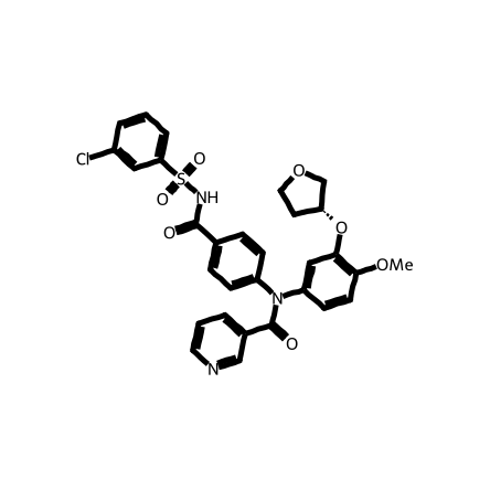 COc1ccc(N(C(=O)c2cccnc2)c2ccc(C(=O)NS(=O)(=O)c3cccc(Cl)c3)cc2)cc1O[C@@H]1CCOC1